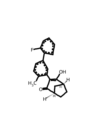 Cc1ccc(-c2ccccc2F)cc1C1=C(O)[C@H]2CC[C@H](C2)C1=O